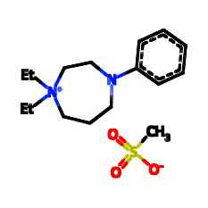 CC[N+]1(CC)CCCN(c2ccccc2)CC1.CS(=O)(=O)[O-]